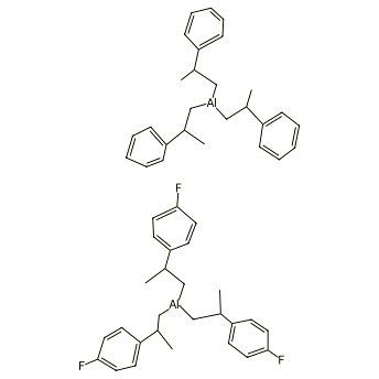 CC([CH2][Al]([CH2]C(C)c1ccc(F)cc1)[CH2]C(C)c1ccc(F)cc1)c1ccc(F)cc1.CC([CH2][Al]([CH2]C(C)c1ccccc1)[CH2]C(C)c1ccccc1)c1ccccc1